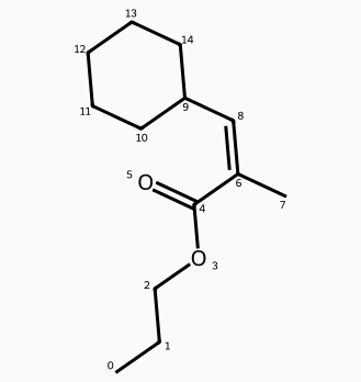 CCCOC(=O)C(C)=CC1CCCCC1